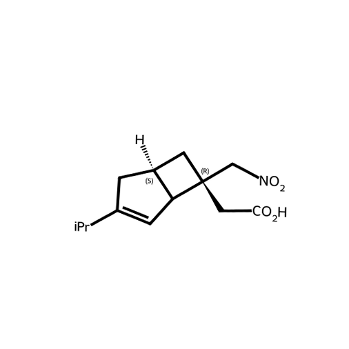 CC(C)C1=CC2[C@@H](C1)C[C@]2(CC(=O)O)C[N+](=O)[O-]